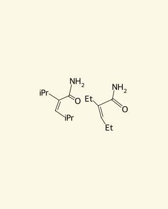 CC(C)C=C(C(N)=O)C(C)C.CCC=C(CC)C(N)=O